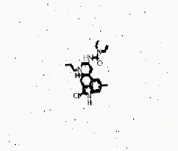 CCCN1C[C@@H](NC(=O)N(CC)CC)CC2c3cc(C)cc4[nH]c(Cl)c(c34)C[C@H]21